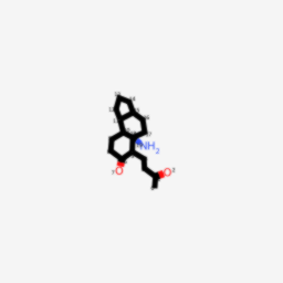 CC(=O)CCC1C(=O)CCC2C3CCCC3CCC12N